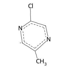 Cc1[c]nc(Cl)cn1